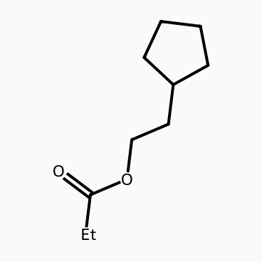 CCC(=O)OCCC1CCCC1